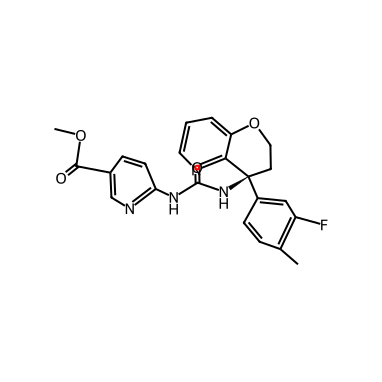 COC(=O)c1ccc(NC(=O)N[C@]2(c3ccc(C)c(F)c3)CCOc3cccnc32)nc1